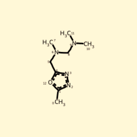 Cc1nnc(CN(C)CN(C)C)o1